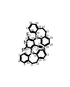 N#Cc1c(N2c3ccccc3CCc3ccccc32)c(F)nc(F)c1N1c2ccccc2CCc2ccccc21